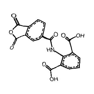 O=C(Nc1c(C(=O)O)cccc1C(=O)O)c1ccc2c(c1)C(=O)OC2=O